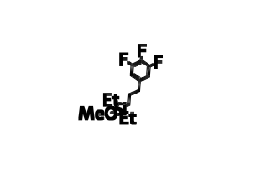 CC[Si](CC)(CCCc1cc(F)c(F)c(F)c1)OC